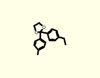 CCc1ccc(C2(c3ccc(C)cc3)OCCO2)cc1